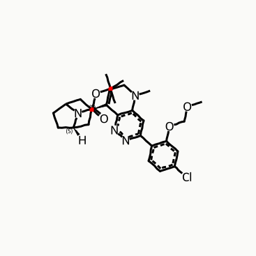 COCOc1cc(Cl)ccc1-c1cc2c(nn1)C([C@@H]1CC3CC[C@@H](C1)N3C(=O)OC(C)(C)C)=CCN2C